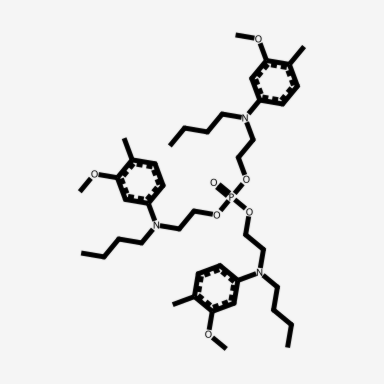 CCCCN(CCOP(=O)(OCCN(CCCC)c1ccc(C)c(OC)c1)OCCN(CCCC)c1ccc(C)c(OC)c1)c1ccc(C)c(OC)c1